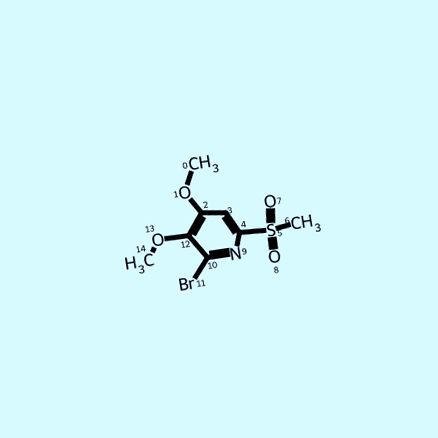 COc1cc(S(C)(=O)=O)nc(Br)c1OC